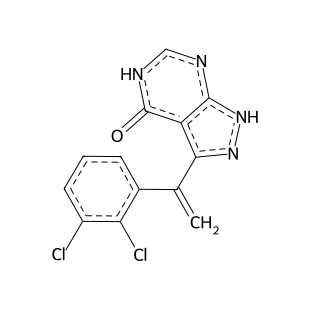 C=C(c1cccc(Cl)c1Cl)c1n[nH]c2nc[nH]c(=O)c12